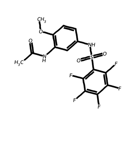 COc1ccc(NS(=O)(=O)c2c(F)c(F)c(F)c(F)c2F)cc1NC(C)=O